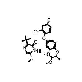 COC(=O)C(C)Oc1ccc(Oc2ccc(Cl)cc2Cl)cc1.CSc1nnc(C(C)(C)C)c(=O)n1N